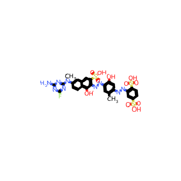 Cc1cc(/N=N/c2c(S(=O)(=O)O)cc3cc(N(C)c4nc(N)nc(F)n4)ccc3c2O)c(O)cc1/N=N/c1cc(S(=O)(=O)O)ccc1S(=O)(=O)O